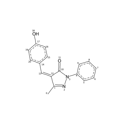 CC1=NN(c2ccccc2)C(=O)C1=Cc1ccc(O)cc1